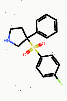 O=S(=O)(c1ccc(F)cc1)C1(c2ccccc2)CCNC1